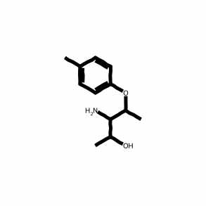 Cc1ccc(OC(C)C(N)C(C)O)cc1